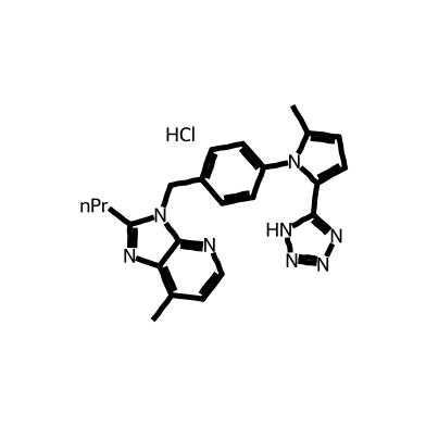 CCCc1nc2c(C)ccnc2n1Cc1ccc(-n2c(C)ccc2-c2nnn[nH]2)cc1.Cl